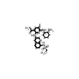 CCS(=O)(=O)Nc1cccc2cc(Nc3nc(N[C@@H]4CCCC[C@@H]4N)c(F)cc3C(N)=O)cnc12